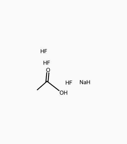 CC(=O)O.F.F.F.[NaH]